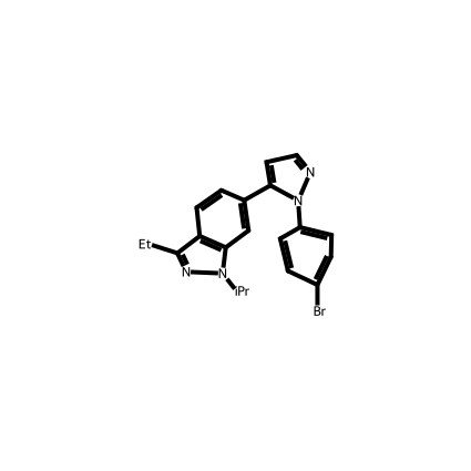 CCc1nn(C(C)C)c2cc(-c3ccnn3-c3ccc(Br)cc3)ccc12